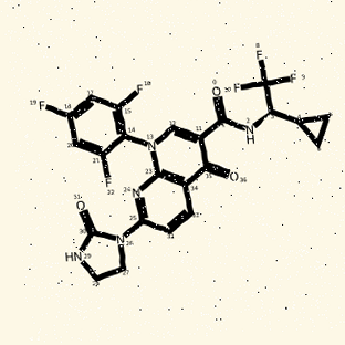 O=C(N[C@H](C1CC1)C(F)(F)F)c1cn(-c2c(F)cc(F)cc2F)c2nc(N3CCNC3=O)ccc2c1=O